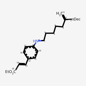 C=C(CCCCCCCCCC)CCCCCNc1ccc(C=CC(=O)OCC)cc1